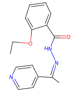 CCOc1ccccc1C(=O)NN=C(C)c1ccncc1